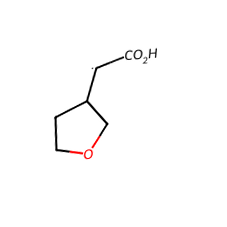 O=C(O)[CH]C1CCOC1